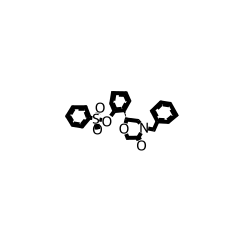 O=C1CO[C@H](c2ccccc2OS(=O)(=O)c2ccccc2)CN1Cc1ccccc1